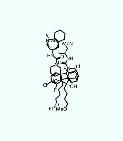 CCOCCCC[C@@](O)(c1cccc(Cl)c1F)[C@]1(C2C([C@@](O)(CCCCOC)c3cccc(Cl)c3F)CCCN2C(=O)N[C@H](CNC)C[C@H]2CC[C@H](C)CC2)CCCN(C(=O)N[C@H](CNC)CC2CCCCC2)C1